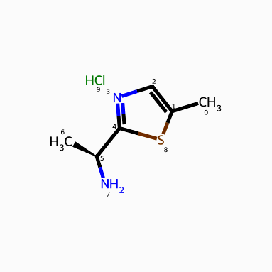 Cc1cnc([C@H](C)N)s1.Cl